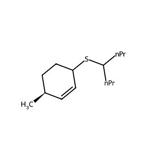 CCCC(CCC)SC1C=C[C@@H](C)CC1